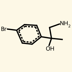 CC(O)(CN)c1ccc(Br)cc1